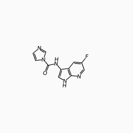 O=C(Nc1c[nH]c2ncc(F)cc12)n1ccnc1